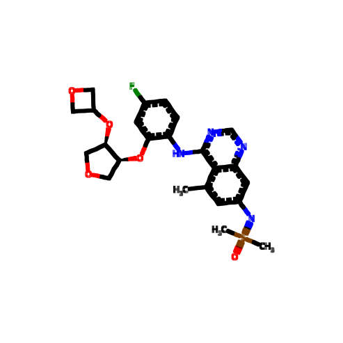 Cc1cc(N=S(C)(C)=O)cc2ncnc(Nc3ccc(F)cc3O[C@H]3COC[C@H]3OC3COC3)c12